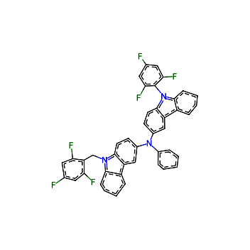 Fc1cc(F)c(Cn2c3ccccc3c3cc(N(c4ccccc4)c4ccc5c(c4)c4ccccc4n5-c4c(F)cc(F)cc4F)ccc32)c(F)c1